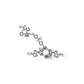 B[P@@]1(=O)OC[C@H]2O[C@@H](n3cnc4c(N)ccnc43)[C@H](F)[C@@H]2O[P@@](=O)(SCc2ccc(OC(=O)c3ccc(OCCn4nnc5c4-c4ccccc4N(C(=O)CC)Cc4ccccc4-5)cc3)cc2)OC[C@H]2O[C@@H](n3cnc4c(N)ncnc43)[C@H](F)[C@@H]2O1